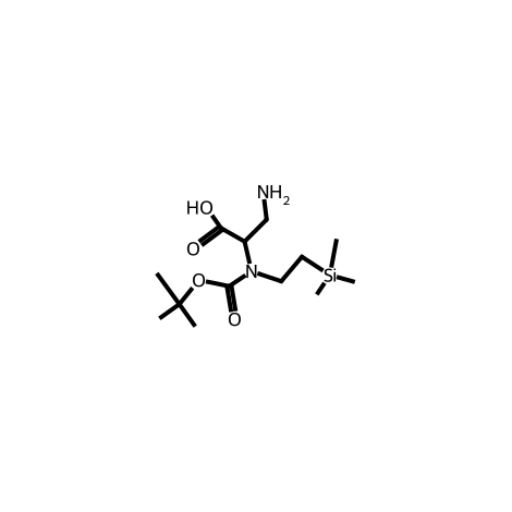 CC(C)(C)OC(=O)N(CC[Si](C)(C)C)C(CN)C(=O)O